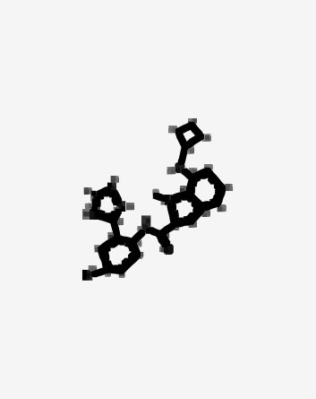 Cn1c(C(=O)Nc2ccc(Br)cc2-c2nnn[nH]2)cc2cccc(OC3CCC3)c21